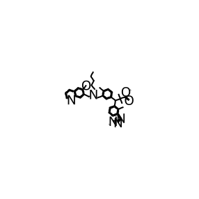 CCCC1CN(Cc2cc(C(c3ccc4c(nnn4C)c3C)C(C)(C)C(=O)OC)ccc2C)Cc2cc3ncccc3cc2O1